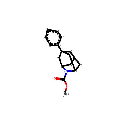 CC(C)(C)OC(=O)N1C2CC3CC1CC(c1ccccc1)(C3)C2